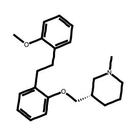 COc1ccccc1CCc1ccccc1OC[C@H]1CCCN(C)C1